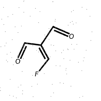 O=CC(C=O)=CF